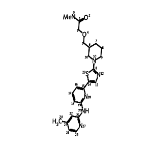 CNC(=O)COCC1CCCN(c2ncc(-c3cccc(Nc4cc(C)ccn4)n3)s2)C1